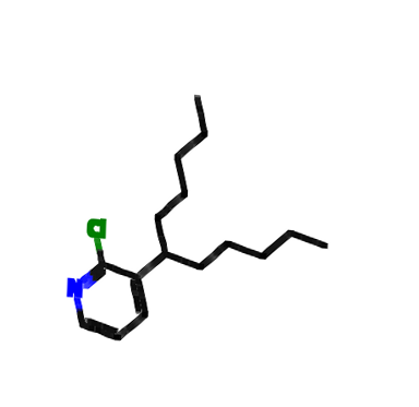 CCCCCC(CCCCC)c1cccnc1Cl